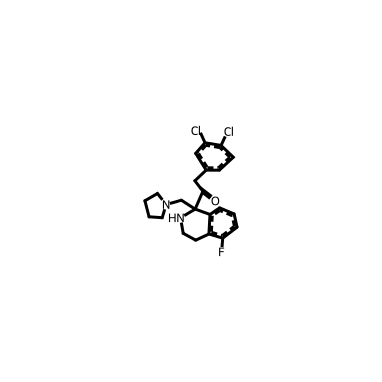 O=C(Cc1ccc(Cl)c(Cl)c1)C1(CN2CCCC2)NCCc2c(F)cccc21